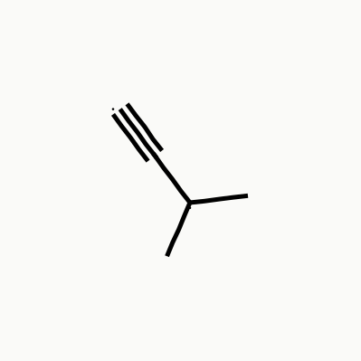 [C]#C[C](C)C